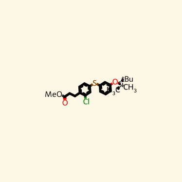 COC(=O)CCc1ccc(Sc2cccc(O[Si](C)(C)C(C)(C)C)c2)cc1Cl